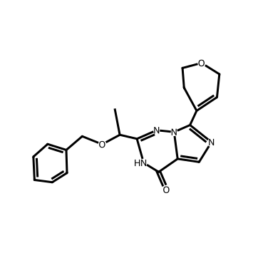 CC(OCc1ccccc1)c1nn2c(C3=CCOCC3)ncc2c(=O)[nH]1